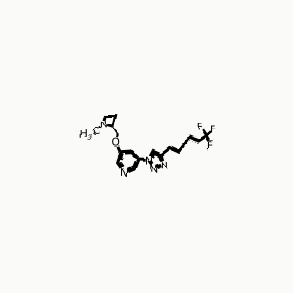 CN1CC[C@H]1COc1cncc(-n2cc(CCCCC(F)(F)F)nn2)c1